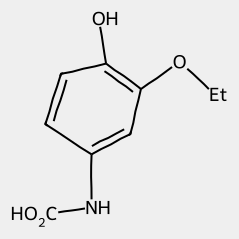 CCOc1cc(NC(=O)O)ccc1O